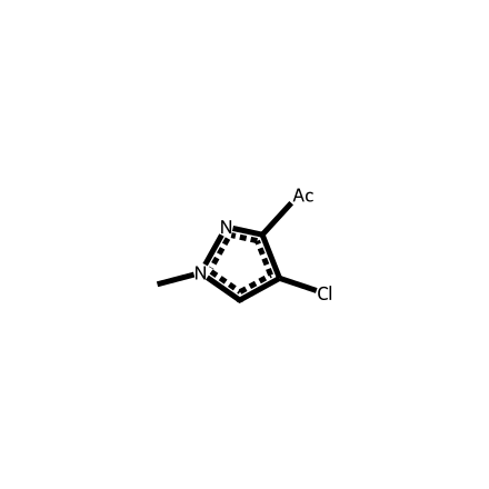 CC(=O)c1nn(C)cc1Cl